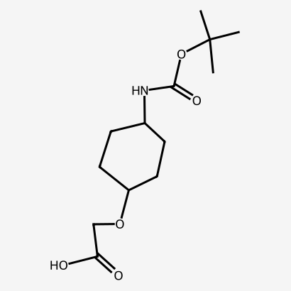 CC(C)(C)OC(=O)NC1CCC(OCC(=O)O)CC1